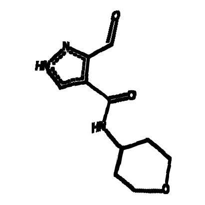 O=Cc1n[nH]cc1C(=O)NC1CCOCC1